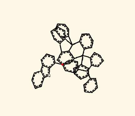 c1ccc(N(c2ccc(-c3cccc4c3oc3ccccc34)cc2)c2ccccc2C2(c3ccccc3)c3ccccc3C3(c4ccccc4)c4ccccc4-c4cccc2c43)cc1